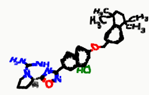 CC1(C)CCC(C)(C)c2cc(COc3ccc4cc(-c5noc([C@@H]6CCCN6C(=N)N)n5)ccc4c3)ccc21.Cl